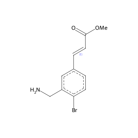 COC(=O)/C=C/c1ccc(Br)c(CN)c1